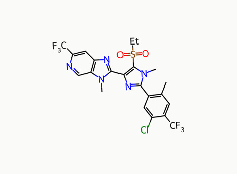 CCS(=O)(=O)c1c(-c2nc3cc(C(F)(F)F)ncc3n2C)nc(-c2cc(Cl)c(C(F)(F)F)cc2C)n1C